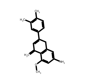 C=C1C=C(c2ccc(C)c(C)c2)Cc2cc(N)cc(OC)c21